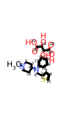 CN1CCC(N(Cc2cccs2)c2ccccc2)CC1.O=C(O)C(O)C(O)C(=O)O